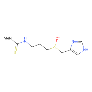 CNC(=S)NCCC[S+]([O-])Cc1c[nH]cn1